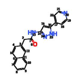 O=C(Cc1ccc2ccccc2c1)Nc1cc(-c2ccncc2)[nH]n1